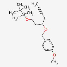 CC#CCC(CCO[Si](C)(C)C(C)(C)C)OCc1ccc(OC)cc1